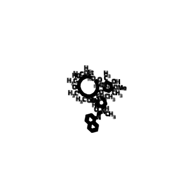 CC[C@H]1OC(=O)[C@H](C)[C@@H](O[C@H]2C[C@@](C)(OC)[C@@H](O)[C@H](C)O2)[C@H](C)[C@@H](O[C@@H]2O[C@H](C)C[C@H]3[C@H]2OC(=Nc2cccc4ccccc24)N3C)[C@](C)(OC)C[C@@H](C)C(=O)[C@H](C)[C@@H](O)[C@]1(C)O